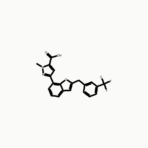 Cn1nc(-c2cccc3cc(Cc4cccc(C(F)(F)F)c4)sc23)cc1C(=O)O